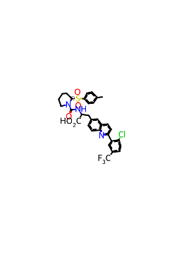 Cc1ccc(S(=O)(=O)[C@H]2CCCCN2C(=O)NC(Cc2ccc3nc(-c4cc(C(F)(F)F)ccc4Cl)ccc3c2)C(=O)O)cc1